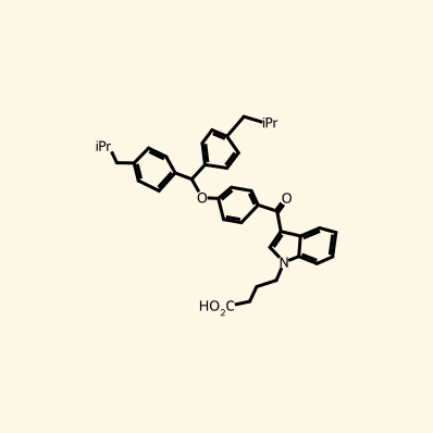 CC(C)Cc1ccc(C(Oc2ccc(C(=O)c3cn(CCCC(=O)O)c4ccccc34)cc2)c2ccc(CC(C)C)cc2)cc1